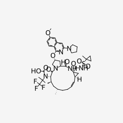 COc1ccc2c(O[C@@H]3C[C@H]4C(=O)N[C@]5(C(=O)NS(=O)(=O)C6(C)CC6)C[C@H]5/C=C\CC[C@H](C)C[C@@H](C)[C@H](N(C(=O)O)C(C)(C)C(F)(F)F)C(=O)N4C3)nc(N3CCCC3)cc2c1